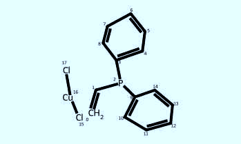 C=CP(c1ccccc1)c1ccccc1.[Cl][Cu][Cl]